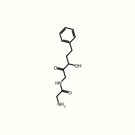 NCC(=O)NCC(=O)C(O)CCc1ccccc1